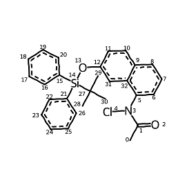 CC(=O)N(Cl)c1cccc2ccc(O[Si](c3ccccc3)(c3ccccc3)C(C)(C)C)cc12